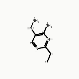 CCc1ncc(NN)c(N)n1